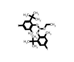 CCOP(Oc1c(C)cc(I)cc1C(C)(C)C)Oc1c(C)cc(I)cc1C(C)(C)C